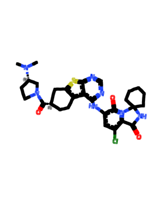 CN(C)[C@H]1CCN(C(=O)[C@H]2CCc3c(sc4ncnc(Nc5cc(Cl)c6n(c5=O)C5(CCCCC5)NC6=O)c34)C2)C1